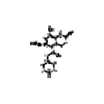 Br.Br.O=C1CCc2c(C(=O)CN3CCNCC3)ccc(O)c2N1